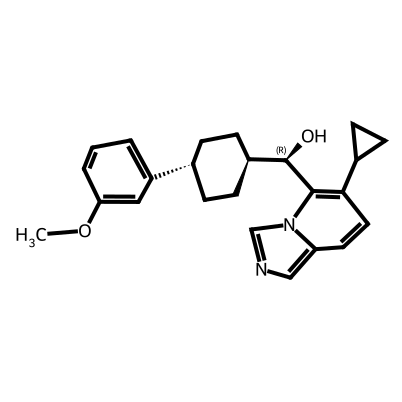 COc1cccc([C@H]2CC[C@H]([C@@H](O)c3c(C4CC4)ccc4cncn34)CC2)c1